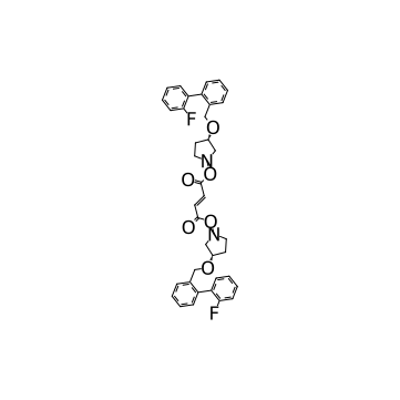 O=C(/C=C/C(=O)ON1CC[C@@H](OCc2ccccc2-c2ccccc2F)C1)ON1CC[C@@H](OCc2ccccc2-c2ccccc2F)C1